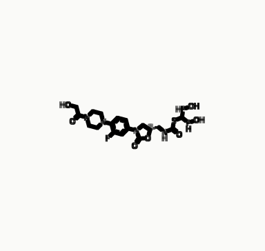 O=C(NC[C@H]1CN(c2ccc(N3CCN(C(=O)CO)CC3)c(F)c2)C(=O)O1)SC(PO)PO